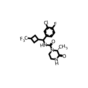 C[C@@H]1C(=O)NCCN1C(=O)NC(c1ccc(F)c(Cl)c1)C1CC(C(F)(F)F)C1